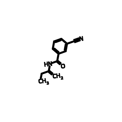 C=C(CC)NC(=O)c1cccc(C#N)c1